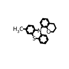 Cc1ccc2c(c1)Sc1ccccc1N2c1cccc2c1OCCC2